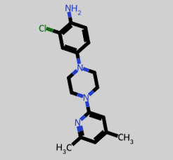 Cc1cc(C)nc(N2CCN(c3ccc(N)c(Cl)c3)CC2)c1